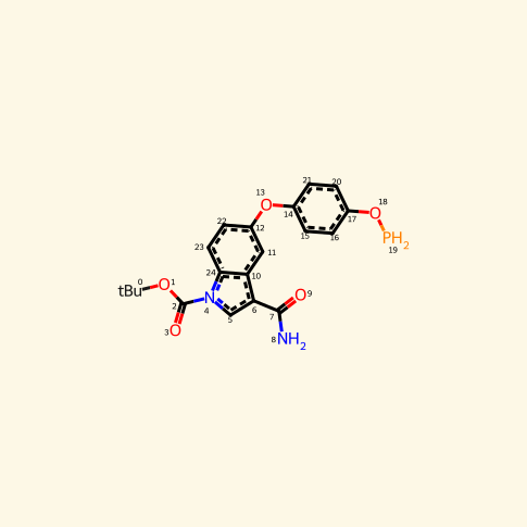 CC(C)(C)OC(=O)n1cc(C(N)=O)c2cc(Oc3ccc(OP)cc3)ccc21